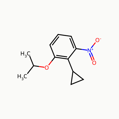 CC(C)Oc1cccc([N+](=O)[O-])c1C1CC1